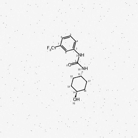 O=C(Nc1cccc(C(F)(F)F)c1)N[C@H]1CC[C@H](O)CC1